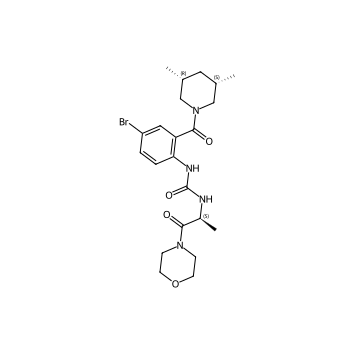 C[C@@H]1C[C@H](C)CN(C(=O)c2cc(Br)ccc2NC(=O)N[C@@H](C)C(=O)N2CCOCC2)C1